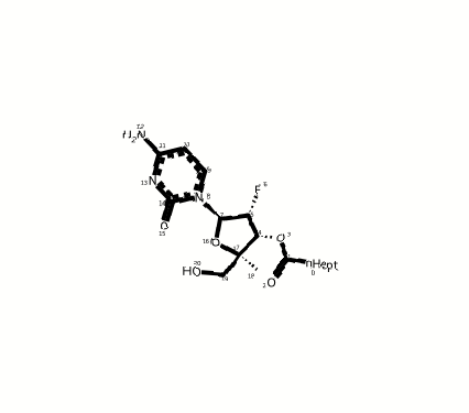 CCCCCCCC(=O)O[C@H]1[C@@H](F)[C@H](n2ccc(N)nc2=O)O[C@]1(C)CO